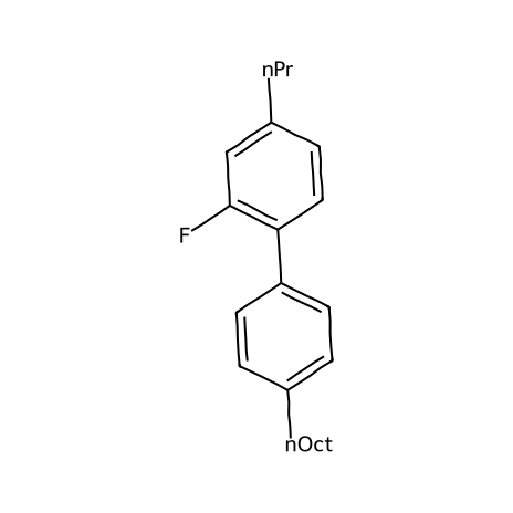 CCCCCCCCc1ccc(-c2ccc(CCC)cc2F)cc1